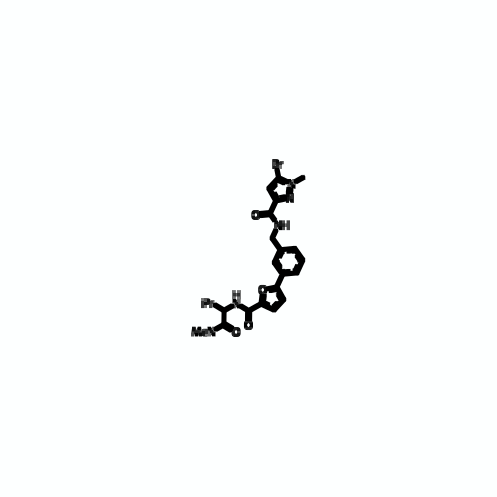 CNC(=O)C(NC(=O)c1ccc(-c2cccc(CNC(=O)c3cc(Br)n(C)n3)c2)o1)C(C)C